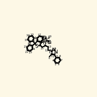 Cc1c(-c2ccccc2)nnn1CCC1CC(SC(c2ccccc2)(c2ccccc2)c2ccccc2)CN1S(C)(=O)=O